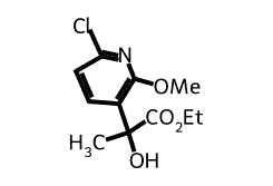 CCOC(=O)C(C)(O)c1ccc(Cl)nc1OC